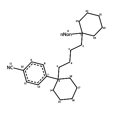 CCCCCCCCCC1(CCCCC2(c3ccc(C#N)cc3)CCCCC2)CCCCC1